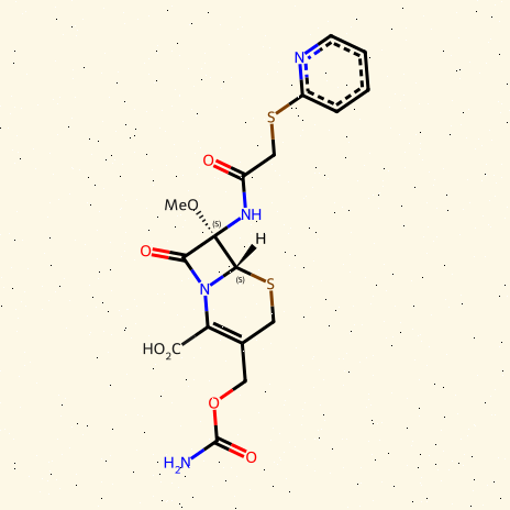 CO[C@@]1(NC(=O)CSc2ccccn2)C(=O)N2C(C(=O)O)=C(COC(N)=O)CS[C@H]21